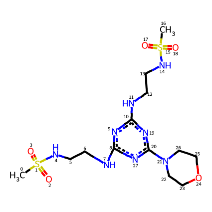 CS(=O)(=O)NCCNc1nc(NCCNS(C)(=O)=O)nc(N2CCOCC2)n1